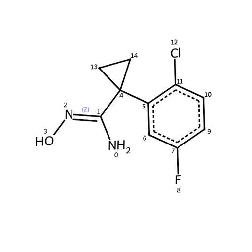 N/C(=N\O)C1(c2cc(F)ccc2Cl)CC1